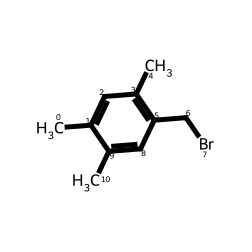 Cc1cc(C)c(CBr)cc1C